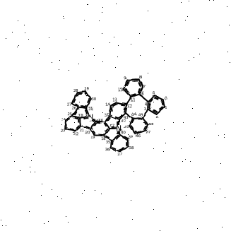 c1ccc2c(c1)-c1ccccc1-c1ccc3c4c5c(cc6c7cccc8c9ccccc9n(c87)c64)c4ccccc4n5c3c1-c1ccccc1-2